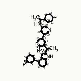 C=C(c1cc2c(-c3cccc(F)c3)cccc2[nH]1)c1cc(-c2cncc(NC(=C)C3CCCCC3)c2)cnc1NC